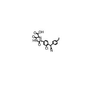 N#CC(c1ccc(F)cc1)c1ccc(-n2nc(C(=O)O)c(=O)[nH]c2=O)cc1Cl